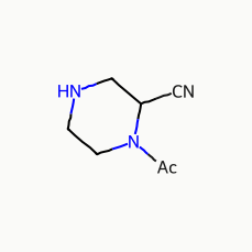 CC(=O)N1CCNCC1C#N